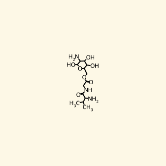 CC(C)C(N)C(=O)NCC(=O)OCC1OC(O)C(N)C(O)C1O